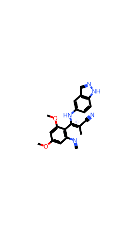 C=Nc1cc(OC)cc(OC)c1/C(Nc1ccc2[nH]ncc2c1)=C(\C)C#N